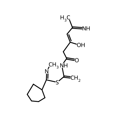 C=C(NC(=O)C/C(O)=C/C(C)=N)S/C(=N\C)C1CCCCC1